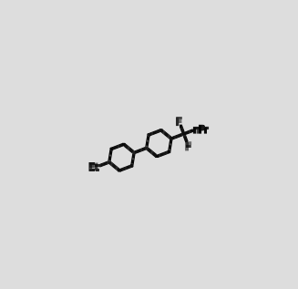 CCCC(F)(F)C1CCC(C2CCC(CC)CC2)CC1